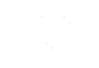 Cn1cc(-c2c(-c3ccccc3)nn3ccccc23)cn1